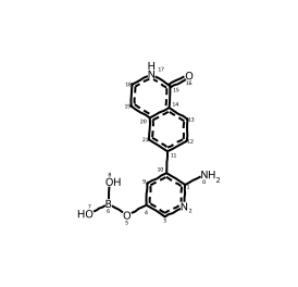 Nc1ncc(OB(O)O)cc1-c1ccc2c(=O)[nH]ccc2c1